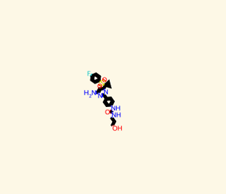 Nc1cc(C2(S(=O)(=O)c3ccc(F)cc3)CC2)nc(-c2ccc(NC(=O)NCCCO)cc2)n1